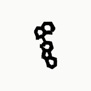 c1cnc2c(-c3ccc4c(n3)sc3ccccc34)nccc2c1